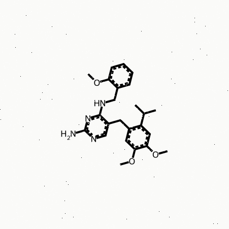 COc1ccccc1CNc1nc(N)ncc1Cc1cc(OC)c(OC)cc1C(C)C